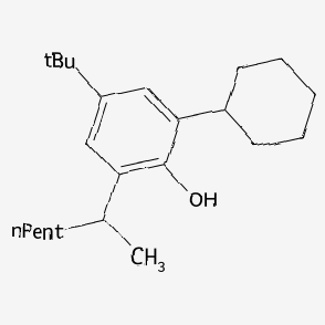 CCCCCC(C)c1cc(C(C)(C)C)cc(C2CCCCC2)c1O